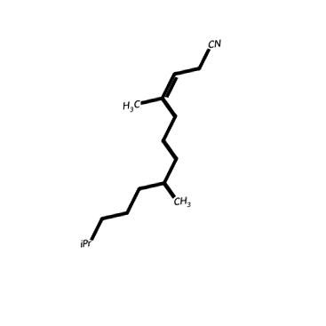 CC(=CCC#N)CCCC(C)CCCC(C)C